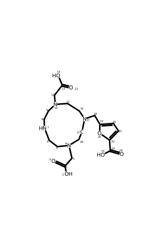 O=C(O)CN1CCNCCN(CC(=O)O)CCN(Cc2ccc(C(=O)O)o2)CC1